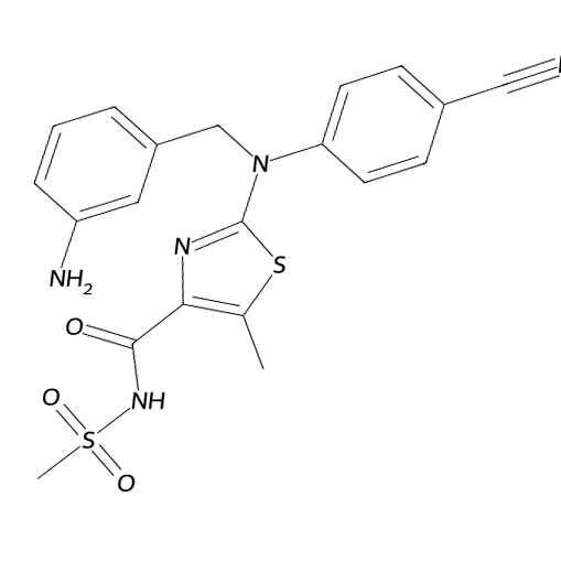 Cc1sc(N(Cc2cccc(N)c2)c2ccc(C#N)cc2)nc1C(=O)NS(C)(=O)=O